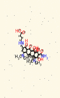 CN(C)c1cc(CNCCCC(=O)O)c(O)c2c1C[C@H]1C[C@H]3[C@@H](N(C)C)C(O)=C(C(N)=O)C(=O)[C@@]3(O)C(O)=C1C2=O